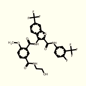 COc1ccc(C(=O)NCCO)cc1C(=O)Nc1c(C(=O)Nc2ccc(F)c(C(F)(F)F)c2)sc2cc(C(F)(F)F)ccc12